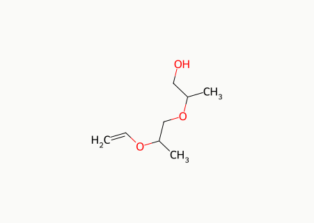 C=COC(C)COC(C)CO